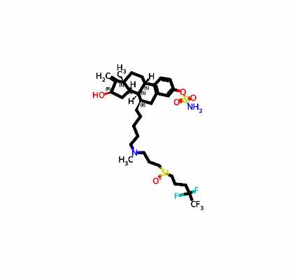 C=C1[C@H](O)C[C@H]2[C@@H]3[C@H](CCCCCN(C)CCC[S+]([O-])CCCC(F)(F)C(F)(F)F)Cc4cc(OS(N)(=O)=O)ccc4[C@H]3CC[C@]12C